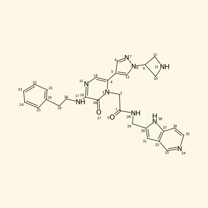 O=C(Cn1c(-c2cnn(C3CNC3)c2)cnc(NCCc2ccccc2)c1=O)NCc1cc2cnccc2[nH]1